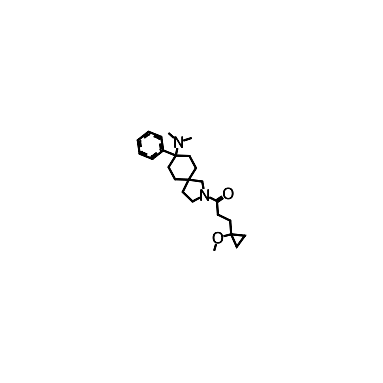 COC1(CCC(=O)N2CCC3(CCC(c4ccccc4)(N(C)C)CC3)C2)CC1